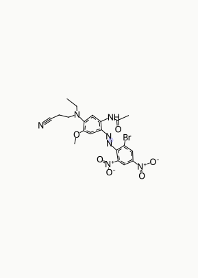 CCN(CCC#N)c1cc(NC(C)=O)c(/N=N/c2c(Br)cc([N+](=O)[O-])cc2[N+](=O)[O-])cc1OC